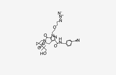 CC(C)(CO)S(=O)(=O)C1(CN2CCc3c(C(=O)NCc4ccc(C#N)cc4)nn(CCOCCN=[N+]=[N-])c3C2=O)CC1